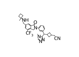 Cn1cnnc1C(c1cccc(N2Cc3c(cc(CNC4(C)CCC4)cc3C(F)(F)F)C2=O)c1)C1CC(CC#N)C1